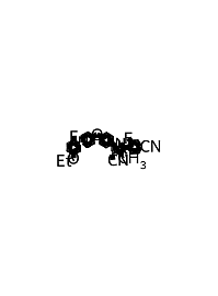 CCOc1ccc(F)c(N2CCC(Oc3ccc(N4N=C(c5ccc(C#N)cc5F)[C@@H](C)[C@@H]4CC#N)cc3)CC2)c1